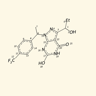 CCC(O)c1nn(C(C)c2ccc(C(F)(F)F)cc2)c2nc(O)[nH]c(=O)c12